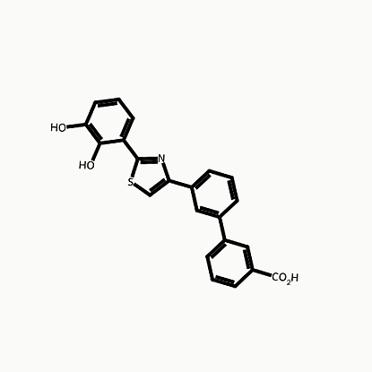 O=C(O)c1cccc(-c2cccc(-c3csc(-c4cccc(O)c4O)n3)c2)c1